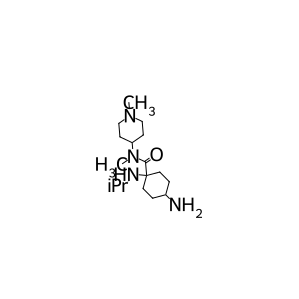 CC(C)NC1(C(=O)N(C)C2CCN(C)CC2)CCC(N)CC1